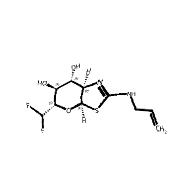 C=CCNC1=N[C@@H]2[C@@H](O)[C@H](O)[C@@H](C(F)F)O[C@@H]2S1